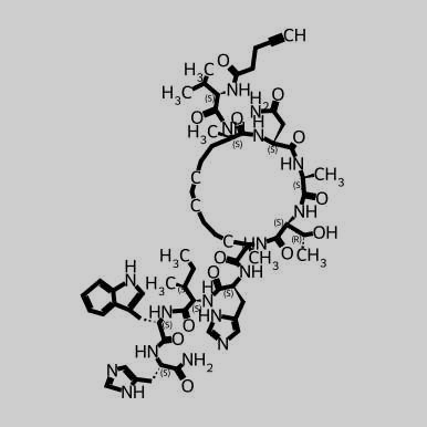 C#CCCC(=O)N[C@H](C(=O)N[C@@]1(C)CCCCCCCC[C@@](C)(C(=O)N[C@@H](Cc2cnc[nH]2)C(=O)N[C@H](C(=O)N[C@@H](Cc2c[nH]c3ccccc23)C(=O)N[C@@H](Cc2cnc[nH]2)C(N)=O)[C@@H](C)CC)NC(=O)[C@H]([C@@H](C)O)NC(=O)[C@H](C)NC(=O)[C@H](CC(N)=O)NC1=O)C(C)C